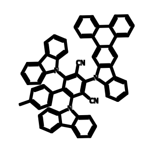 Cc1ccc(-c2c(-n3c4ccccc4c4ccccc43)c(C#N)c(-n3c4ccccc4c4cc5c6ccccc6c6ccccc6c5cc43)c(C#N)c2-n2c3ccccc3c3ccccc32)cc1